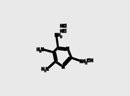 Cl.Cl.Cl.Nc1nc(N)c(N)c(N)n1